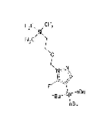 CCC[CH2][Sn]([CH2]CCC)([CH2]CCC)[c]1cnn(COCC[Si](C)(C)C)c1F